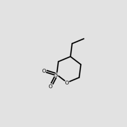 CCC1CCOS(=O)(=O)C1